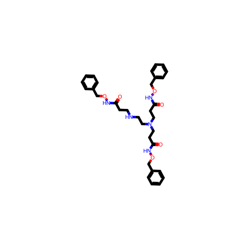 O=C(CCNCCN(CCC(=O)NOCc1ccccc1)CCC(=O)NOCc1ccccc1)NOCc1ccccc1